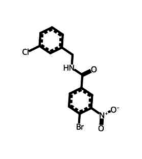 O=C(NCc1cccc(Cl)c1)c1ccc(Br)c([N+](=O)[O-])c1